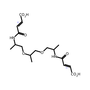 CC(COCC(C)OCC(C)NC(=O)/C=C/C(=O)O)NC(=O)/C=C/C(=O)O